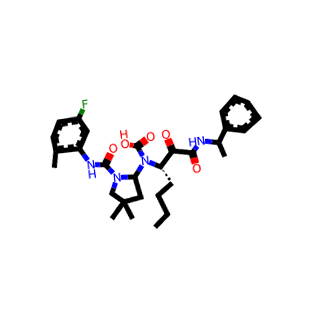 CCCC[C@@H](C(=O)C(=O)NC(C)c1ccccc1)N(C(=O)O)C1CC(C)(C)CN1C(=O)Nc1cc(F)ccc1C